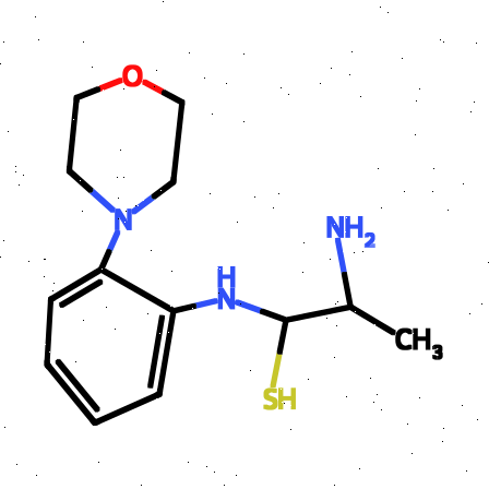 CC(N)C(S)Nc1ccccc1N1CCOCC1